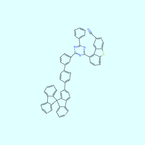 N#Cc1ccc2sc3cccc(-c4nc(-c5ccccc5)nc(-c5cccc(-c6ccc(-c7ccc8c(c7)C7(c9ccccc9-c9ccccc97)c7ccccc7-8)cc6)c5)n4)c3c2c1